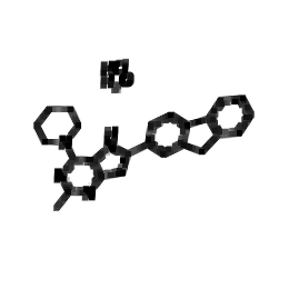 Cc1nc(N2CCCCC2)c2[nH]c(-c3ccc4c(c3)Cc3ccccc3-4)cc2n1.Cl.O